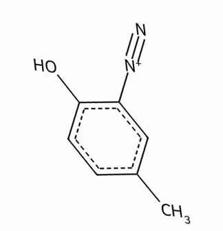 Cc1ccc(O)c([N+]#N)c1